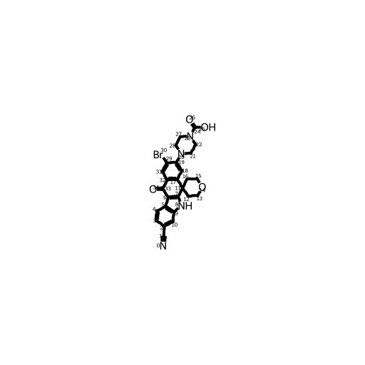 N#Cc1ccc2c3c([nH]c2c1)C1(CCOCC1)c1cc(N2CCN(C(=O)O)CC2)c(Br)cc1C3=O